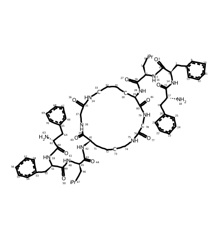 CC(C)C[C@@H](NC(=O)[C@@H](Cc1ccccc1)NC(=O)[C@H](N)Cc1ccccc1)C(=O)N[C@@H]1CCCCNC(=O)CNC(=O)[C@H](NC(=O)[C@@H](CC(C)C)NC(=O)[C@@H](Cc2ccccc2)NC(=O)[C@H](N)Cc2ccccc2)CCCCNC(=O)CNC1=O